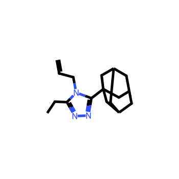 C=CCn1c(CC)nnc1C12CC3CC(CC(C3)C1)C2